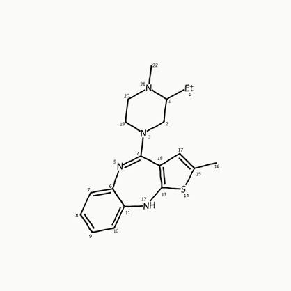 CCC1CN(C2=Nc3ccccc3Nc3sc(C)cc32)CCN1C